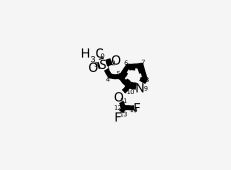 CS(=O)(=O)[CH]c1cccnc1OC(F)F